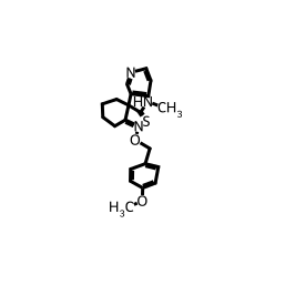 CNC(=S)C1(c2cccnc2)CCCCC1=NOCc1ccc(OC)cc1